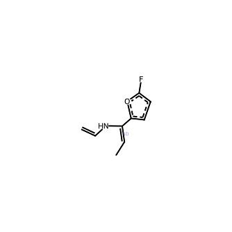 C=CN/C(=C\C)c1ccc(F)o1